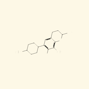 CCCC1CCC(c2cc3c(c(C(F)(F)F)c2C(F)(F)F)OC(CCC)CC3)CC1